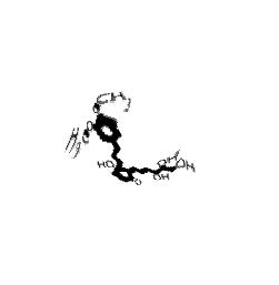 COc1ccc(CCCC2(O)C=CC(=O)C2=CC=CC(O)C(O)CO)cc1OC